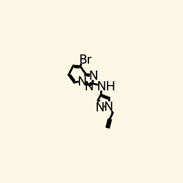 C#CCn1cc(Nc2nc3c(Br)cccn3n2)cn1